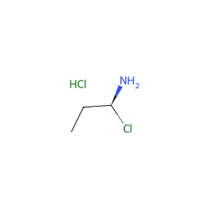 CC[C@@H](N)Cl.Cl